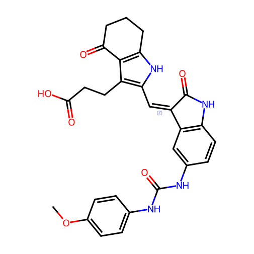 COc1ccc(NC(=O)Nc2ccc3c(c2)/C(=C/c2[nH]c4c(c2CCC(=O)O)C(=O)CCC4)C(=O)N3)cc1